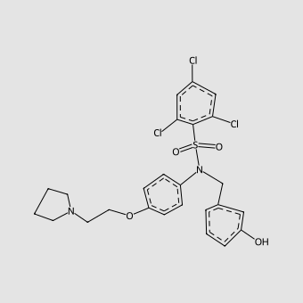 O=S(=O)(c1c(Cl)cc(Cl)cc1Cl)N(Cc1cccc(O)c1)c1ccc(OCCN2CCCC2)cc1